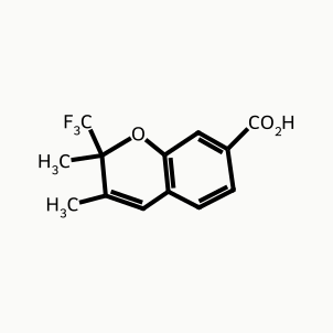 CC1=Cc2ccc(C(=O)O)cc2OC1(C)C(F)(F)F